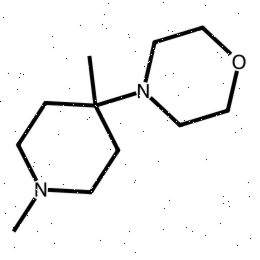 CN1CCC(C)(N2CCOCC2)CC1